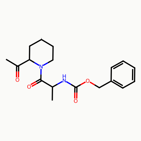 CC(=O)C1C[CH]CCN1C(=O)C(C)NC(=O)OCc1ccccc1